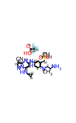 CN(CCN)c1ccc(Nc2cc(NC3CC3)n3ncc(C#N)c3n2)cc1CS(C)(=O)=O.O=C(O)C(F)(F)F